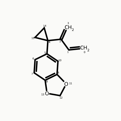 C=CC(=C)C1(c2ccc3c(c2)OCO3)CC1